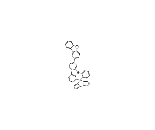 c1ccc2c(c1)B1c3cc(-c4ccc5oc6ccccc6c5c4)ccc3-c3cccc(c31)C21c2ccccc2-c2ccccc21